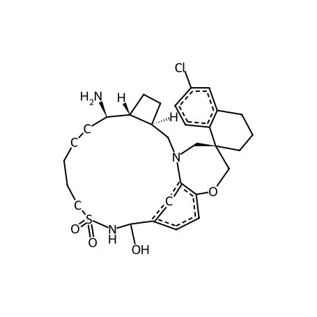 N[C@@H]1CCCCCS(=O)(=O)NC(O)c2ccc3c(c2)N(C[C@@H]2CC[C@H]21)C[C@@]1(CCCc2cc(Cl)ccc21)CO3